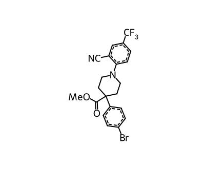 COC(=O)C1(c2ccc(Br)cc2)CCN(c2ccc(C(F)(F)F)cc2C#N)CC1